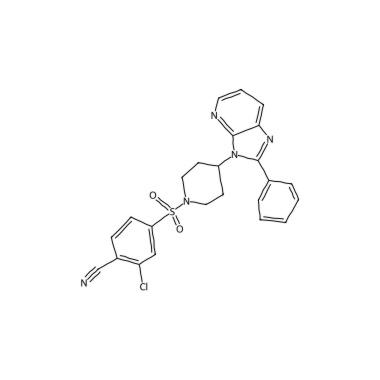 N#Cc1ccc(S(=O)(=O)N2CCC(n3c(-c4ccccc4)nc4cccnc43)CC2)cc1Cl